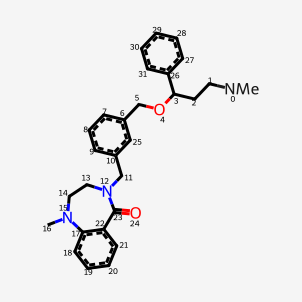 CNCCC(OCc1cccc(CN2CCN(C)c3ccccc3C2=O)c1)c1ccccc1